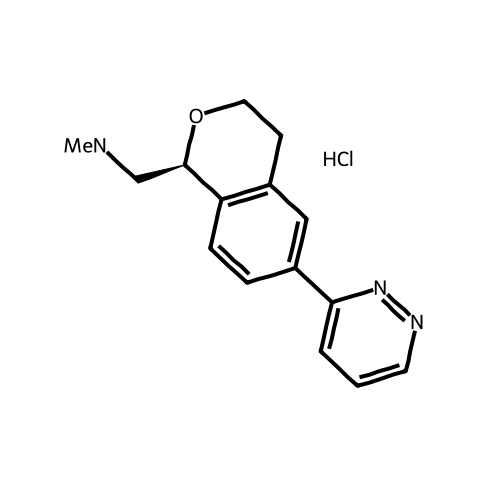 CNC[C@H]1OCCc2cc(-c3cccnn3)ccc21.Cl